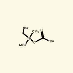 CCCCC(=O)O[Si](CC(C)(C)C)(OC)OC